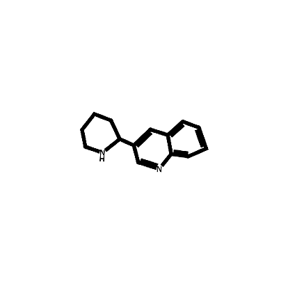 c1ccc2ncc(C3CCCCN3)cc2c1